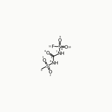 CS(=O)(=O)NC(=O)NS(=O)(=O)F